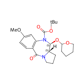 COc1ccc2c(c1)N(C(=O)OC(C)(C)C)[C@@H](OC1CCCCO1)[C@@H]1CCCN1C2=O